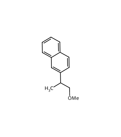 COCC(C)c1ccc2ccccc2c1